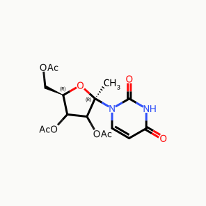 CC(=O)OC[C@H]1O[C@@](C)(n2ccc(=O)[nH]c2=O)C(OC(C)=O)C1OC(C)=O